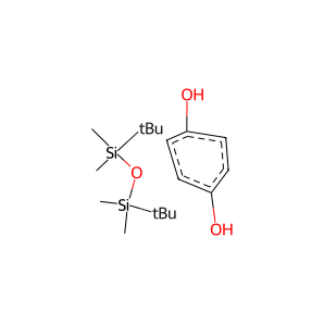 CC(C)(C)[Si](C)(C)O[Si](C)(C)C(C)(C)C.Oc1ccc(O)cc1